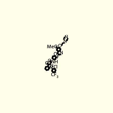 COc1cc2c(Oc3ccc(NC(=O)c4nn(-c5cc(C(F)(F)F)ccc5Cl)c5ccccc5c4=O)cc3F)ccnc2cc1OCCCN1CCN(C)CC1